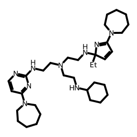 CCC1(NCCN(CCNc2nccc(N3CCCCCC3)n2)CCNC2CCCCC2)C=CC(N2CCCCCC2)=N1